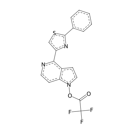 O=C(On1ccc2c(-c3csc(-c4ccccc4)n3)nccc21)C(F)(F)F